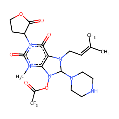 CC(C)=CCN1c2c(n(C)c(=O)n(C3CCOC3=O)c2=O)N(OC(=O)C(F)(F)F)C1N1CCNCC1